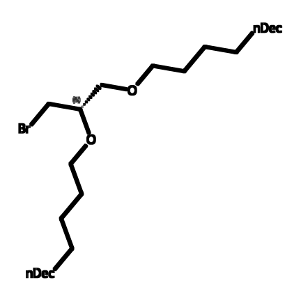 CCCCCCCCCCCCCCOC[C@@H](CBr)OCCCCCCCCCCCCCC